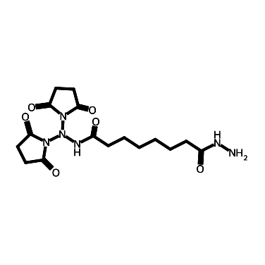 NNC(=O)CCCCCCC(=O)NN(N1C(=O)CCC1=O)N1C(=O)CCC1=O